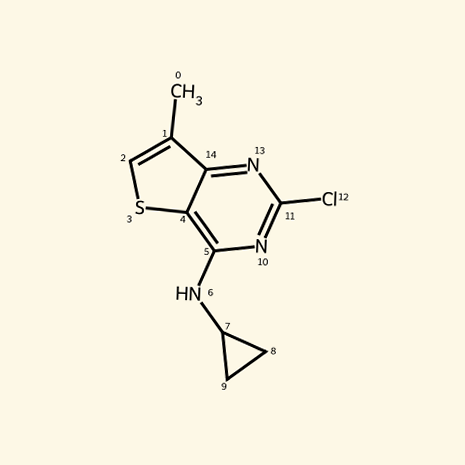 Cc1csc2c(NC3CC3)nc(Cl)nc12